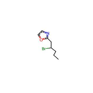 CCCC(Br)Cc1ncco1